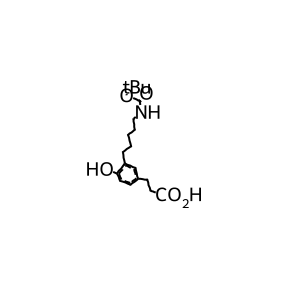 CC(C)(C)OC(=O)NCCCCCc1cc(CCC(=O)O)ccc1O